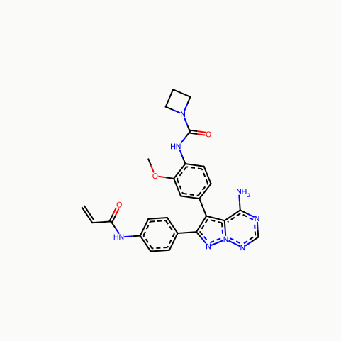 C=CC(=O)Nc1ccc(-c2nn3ncnc(N)c3c2-c2ccc(NC(=O)N3CCC3)c(OC)c2)cc1